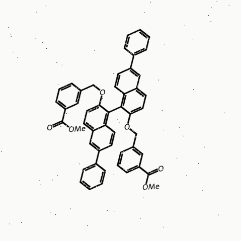 COC(=O)c1cccc(COc2ccc3cc(-c4ccccc4)ccc3c2-c2c(OCc3cccc(C(=O)OC)c3)ccc3cc(-c4ccccc4)ccc23)c1